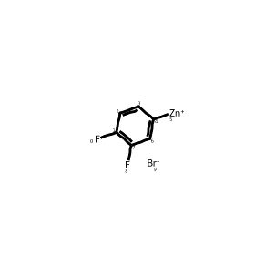 Fc1cc[c]([Zn+])cc1F.[Br-]